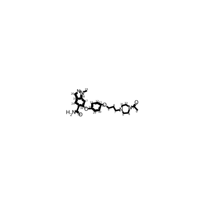 CC(=O)N1CCN(CCCOc2ccc(Oc3cc4c(cnn4C)cc3C(N)=O)cc2)CC1